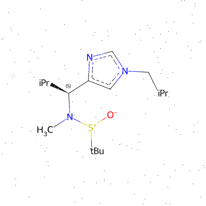 CC(C)Cn1cnc([C@H](C(C)C)N(C)[S+]([O-])C(C)(C)C)c1